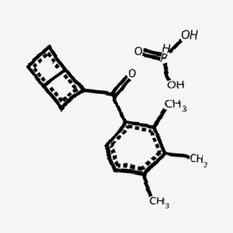 Cc1ccc(C(=O)c2cc3ccc2-3)c(C)c1C.O=[PH](O)O